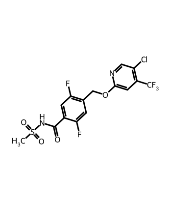 CS(=O)(=O)NC(=O)c1cc(F)c(COc2cc(C(F)(F)F)c(Cl)cn2)cc1F